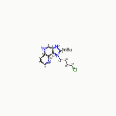 CCCCc1nc2cnc3cccnc3c2n1CCCCCl